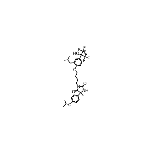 CC(C)Cc1cc(C(O)(C(F)(F)F)C(F)(F)F)ccc1OCCCCN1C(=O)NC(C)(c2ccc(OC(C)C)cc2)C1=O